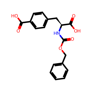 O=C(N[C@@H](Cc1ccc(C(=O)O)cc1)C(=O)O)OCc1ccccc1